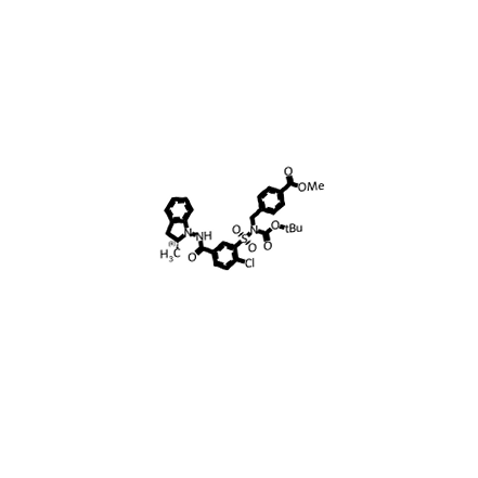 COC(=O)c1ccc(CN(C(=O)OC(C)(C)C)S(=O)(=O)c2cc(C(=O)NN3c4ccccc4C[C@H]3C)ccc2Cl)cc1